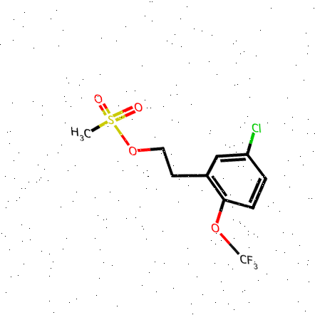 CS(=O)(=O)OCCc1cc(Cl)ccc1OC(F)(F)F